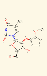 CO[C@@H]1CCC[C@H]1O[C@H]1C(O)[C@@H](CO)O[C@H]1n1cc(C)c(=O)[nH]c1=O